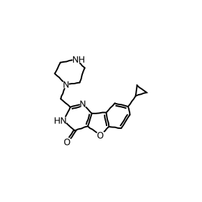 O=c1[nH]c(CN2CCNCC2)nc2c1oc1ccc(C3CC3)cc12